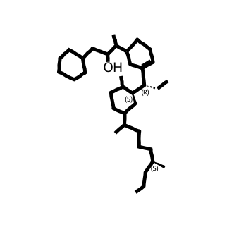 CCC[C@H](C)CCCC(C)C1CCC(C)[C@@H]([C@@H](CC)C2=CCCC(C(C)C(O)CC3CCCCC3)C2)C1